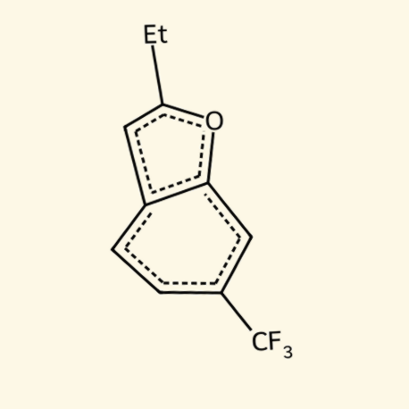 [CH2]Cc1cc2ccc(C(F)(F)F)cc2o1